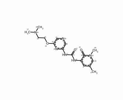 Cc1cc(NC(=O)Nc2cncc(OCCN(C)C)n2)c(=O)n(C)c1